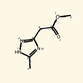 COC(=O)Cc1n[nH]c(C)n1